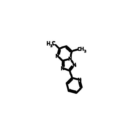 Cc1cc(C)n2nc(-c3ccccn3)nc2n1